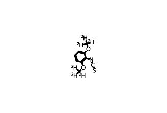 [2H]C([2H])([2H])Oc1cccc(OC([2H])([2H])[2H])c1N=C=S